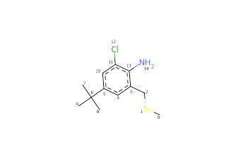 CSCc1cc(C(C)(C)C)cc(Cl)c1N